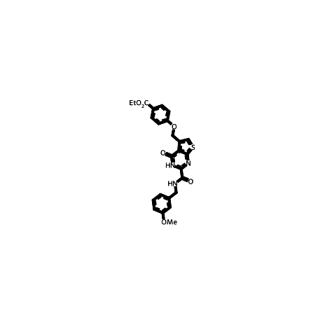 CCOC(=O)c1ccc(OCc2csc3nc(C(=O)NCc4cccc(OC)c4)[nH]c(=O)c23)cc1